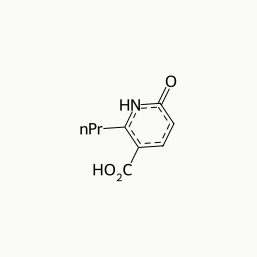 CCCc1[nH]c(=O)ccc1C(=O)O